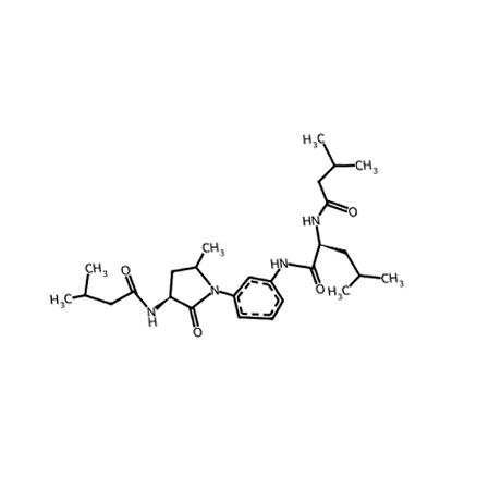 CC(C)CC(=O)N[C@@H](CC(C)C)C(=O)Nc1cccc(N2C(=O)[C@@H](NC(=O)CC(C)C)CC2C)c1